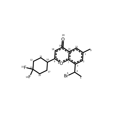 Cc1cc(C(C)Br)c2oc(C3CCC(F)(F)CC3)cc(=O)c2c1